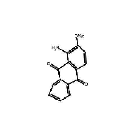 COc1ccc2c(c1N)C(=O)c1ccccc1C2=O